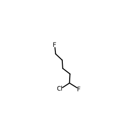 FCCCCC(F)Cl